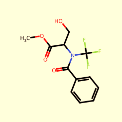 COC(=O)C(CO)N(C(=O)c1ccccc1)C(F)(F)F